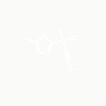 Cc1cnc(C(C)(O)C#CC(C)(C)C)s1